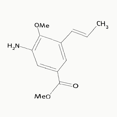 C/C=C/c1cc(C(=O)OC)cc(N)c1OC